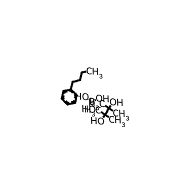 CC(C)(O)C(C)(C)O.CCCCc1ccccc1.OB(O)O